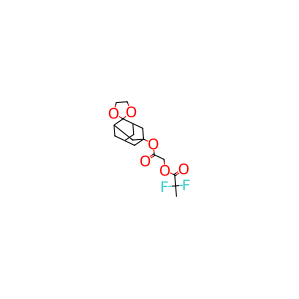 CC(F)(F)C(=O)OCC(=O)OC12CC3CC(C1)C1(OCCO1)C(C3)C2